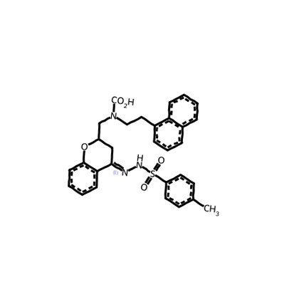 Cc1ccc(S(=O)(=O)N/N=C2\CC(CN(CCc3cccc4ccccc34)C(=O)O)Oc3ccccc32)cc1